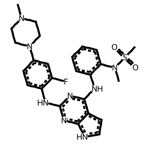 CN1CCN(c2ccc(Nc3nc(Nc4ccccc4N(C)S(C)(=O)=O)c4cc[nH]c4n3)c(F)c2)CC1